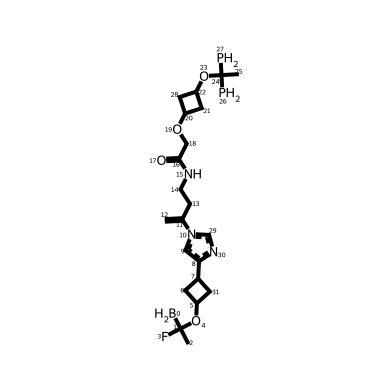 BC(C)(F)OC1CC(c2cn(C(=C)CCNC(=O)COC3CC(OC(C)(P)P)C3)cn2)C1